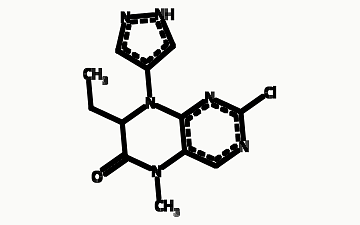 CCC1C(=O)N(C)c2cnc(Cl)nc2N1c1cn[nH]c1